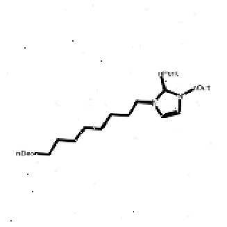 CCCCCCCCCCCCCCCCCCN1C=CN(CCCCCCCC)C1CCCCC